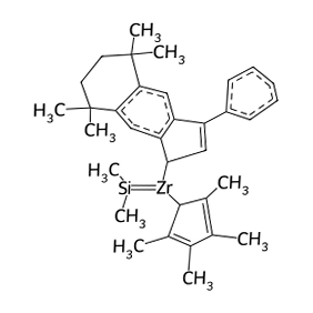 CC1=C(C)[CH]([Zr]([CH]2C=C(c3ccccc3)c3cc4c(cc32)C(C)(C)CCC4(C)C)=[Si](C)C)C(C)=C1C